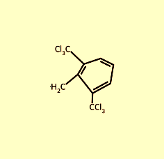 [CH2]c1c(C(Cl)(Cl)Cl)cccc1C(Cl)(Cl)Cl